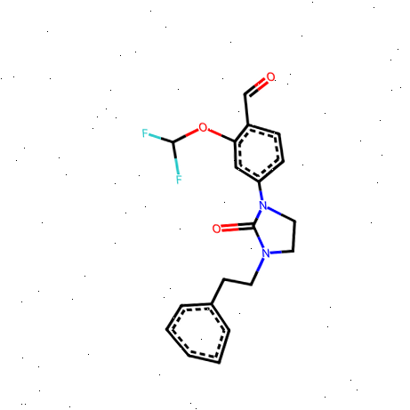 O=Cc1ccc(N2CCN(CCc3ccccc3)C2=O)cc1OC(F)F